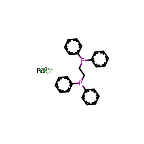 [Cl-].[Cl-].[Pd+2].c1ccc(P(CCP(c2ccccc2)c2ccccc2)c2ccccc2)cc1